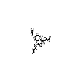 C=CCOC(=O)[C@@H]1C[C@H](CC#N)CCN1C(=O)OC=C